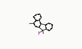 Cc1cc2c(c3ccccc13)-c1ccccc1C2(C)I